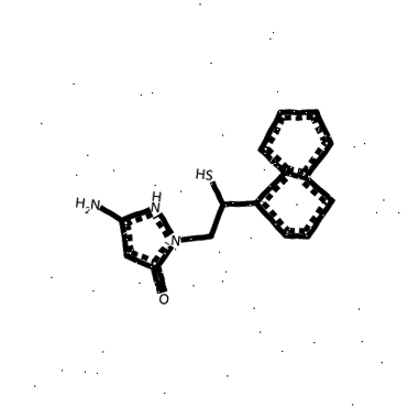 Nc1cc(=O)n(CC(S)c2cccc3ccccc23)[nH]1